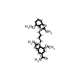 COc1cccc2nc(N)n(CC=CCn3c(N)nc4cc(C(N)=O)cc(OC)c43)c12